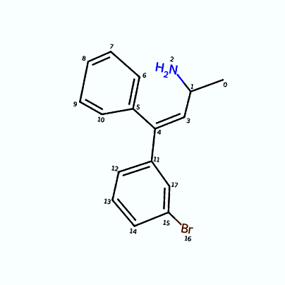 CC(N)/C=C(\c1ccccc1)c1cccc(Br)c1